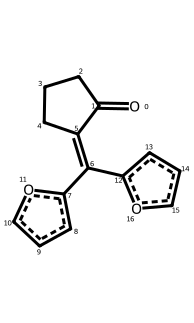 O=C1CCCC1=C(c1ccco1)c1ccco1